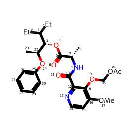 CCC(CC)[C@H](OC(=O)[C@H](C)NC(=O)c1nccc(OC)c1OCOC(C)=O)[C@H](C)Oc1ccccc1